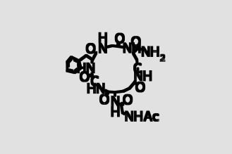 CC(=O)NCC(=O)NC1CCC(=O)NCCC(C(N)=O)NC(=O)CNC(=O)C(Cc2ccccc2)NC(=O)CNC1=O